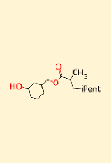 CCCC(C)CC(C)C(=O)OCC1CCCC(O)C1